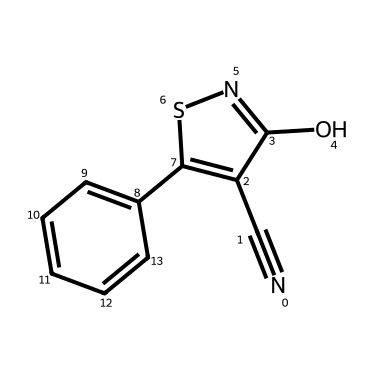 N#Cc1c(O)nsc1-c1ccccc1